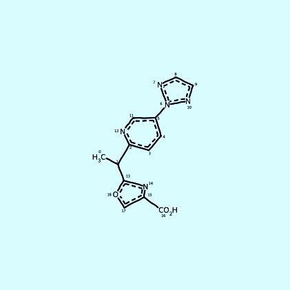 CC(c1ccc(-n2nccn2)cn1)c1nc(C(=O)O)co1